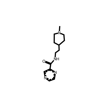 CN1CCC(CCNC(=O)c2cnccn2)CC1